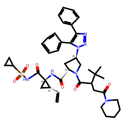 C=C[C@@H]1C[C@]1(NC(=O)[C@@H]1C[C@@H](n2nnc(-c3ccccc3)c2-c2ccccc2)CN1C(=O)C(CC(=O)N1CCCCC1)C(C)(C)C)C(=O)NS(=O)(=O)C1CC1